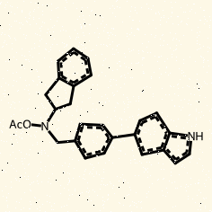 CC(=O)ON(Cc1ccc(-c2ccc3[nH]ccc3c2)cc1)C1Cc2ccccc2C1